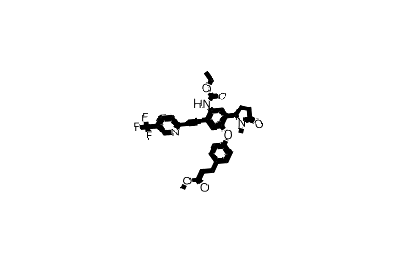 CCOC(=O)Nc1cc(C2CCC(=O)N2C)c(Oc2ccc(CCC(=O)OC)cc2)cc1C#Cc1ccc(C(F)(F)F)cn1